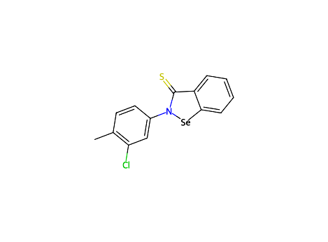 Cc1ccc(-n2[se]c3ccccc3c2=S)cc1Cl